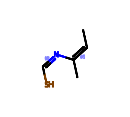 C/C=C(C)\N=C/S